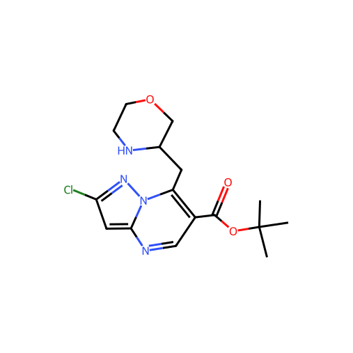 CC(C)(C)OC(=O)c1cnc2cc(Cl)nn2c1CC1COCCN1